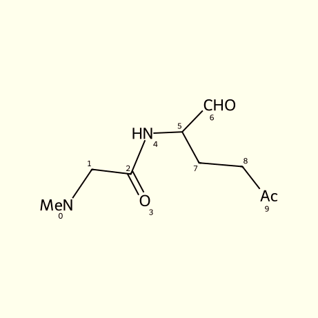 CNCC(=O)NC(C=O)CCC(C)=O